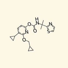 CC(C)(NC(=O)Oc1ccc(C2CC2)c(OCC2CC2)n1)c1nccs1